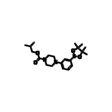 CC(C)COC(=O)N1CCN(c2cccc(B3OC(C)(C)C(C)(C)O3)c2)CC1